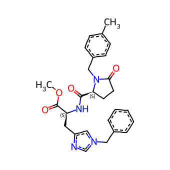 COC(=O)[C@H](Cc1cn(Cc2ccccc2)cn1)NC(=O)[C@@H]1CCC(=O)N1Cc1ccc(C)cc1